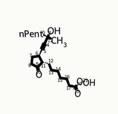 CCCCC[C@](C)(O)C#C[C@@H]1CCC(=O)[C@H]1CCCCCCC(=O)OO